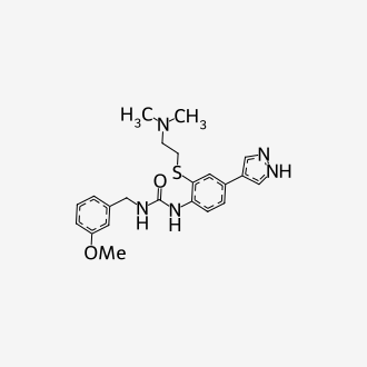 COc1cccc(CNC(=O)Nc2ccc(-c3cn[nH]c3)cc2SCCN(C)C)c1